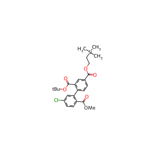 COC(=O)c1ccc(Cl)cc1-c1ccc(C(=O)OCC[Si](C)(C)C)cc1C(=O)OC(C)(C)C